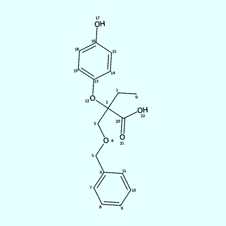 CCC(COCc1ccccc1)(Oc1ccc(O)cc1)C(=O)O